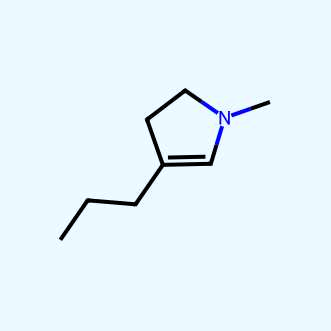 CCCC1=CN(C)CC1